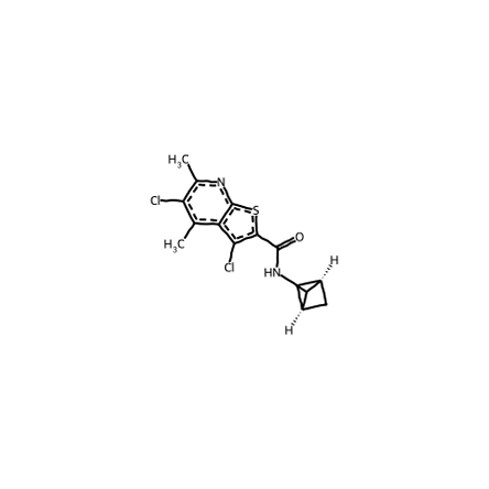 Cc1nc2sc(C(=O)NC3[C@H]4C[C@@H]3C4)c(Cl)c2c(C)c1Cl